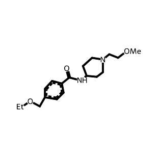 CCOCc1ccc(C(=O)NC2CCN(CCOC)CC2)cc1